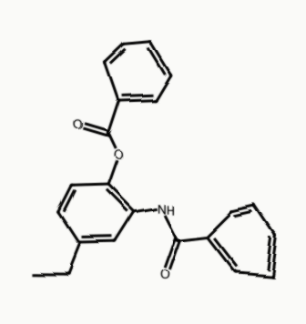 CCc1ccc(OC(=O)c2ccccc2)c(NC(=O)c2ccccc2)c1